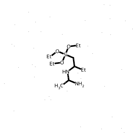 CCO[Si](CC(CC)NC(C)N)(OCC)OCC